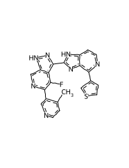 Cc1ccncc1-c1ncc2[nH]nc(-c3nc4c(-c5ccsc5)nccc4[nH]3)c2c1F